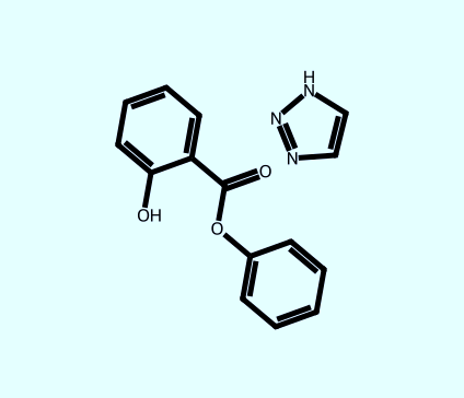 O=C(Oc1ccccc1)c1ccccc1O.c1c[nH]nn1